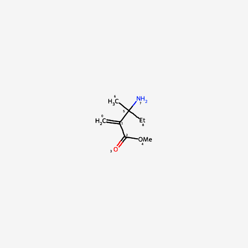 C=C(C(=O)OC)C(C)(N)CC